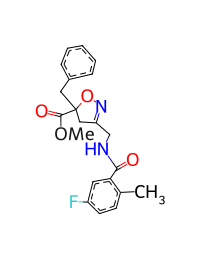 COC(=O)C1(Cc2ccccc2)CC(CNC(=O)c2cc(F)ccc2C)=NO1